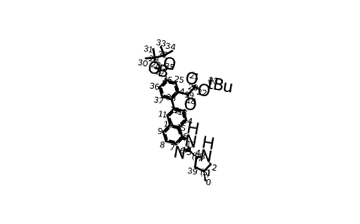 C[C@@H]1CN[C@H](c2nc3ccc4cc5c(cc4c3[nH]2)OC(C(=O)OC(C)(C)C)c2cc(B3OC(C)(C)C(C)(C)O3)ccc2-5)C1